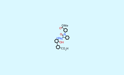 COC(=O)c1cccc(N2C(=O)C(=NNc3cccc(-c4cccc(C(=O)O)c4)c3O)c3ccccc32)c1